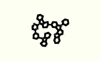 c1ccc(-n2c3ccc(-c4ccc5c(c4)c4ccccc4n5-c4nccc(-c5cccc(-n6c7ccccc7c7ccccc76)c5)n4)cc3c3c4sc5ccccc5c4ccc32)cc1